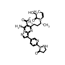 C/C=C\N(C(=O)CO)[C@H](C)CCc1nc2c(-c3ccc(N4NCCC4=O)nc3)cnn2c(N)c1C(C)=O